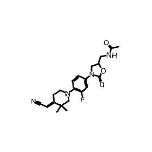 CC(=O)NCC1CN(c2ccc(N3CCC(=CC#N)C(C)(C)C3)c(F)c2)C(=O)O1